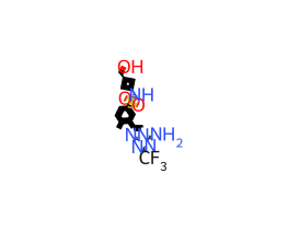 Cc1ccc(S(=O)(=O)N[C@H]2C[C@H](CO)C2)cc1-c1cn2c(N)nc(C(F)(F)F)nc2n1